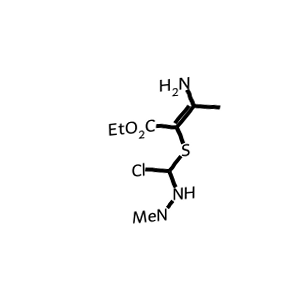 CCOC(=O)/C(SC(Cl)NNC)=C(/C)N